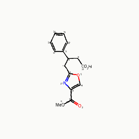 COC(=O)c1coc(CC(CC(=O)O)c2ccccc2)n1